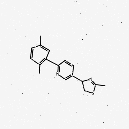 CC1=NC(c2ccc(-c3cc(C)ccc3C)nc2)CS1